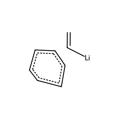 [Li][CH]=C.c1ccccc1